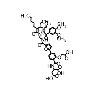 CCCCCC(C(=O)NCNC(=O)c1ccc(-c2ccc(C(=O)NC(CC(=O)O)C(=O)O)c(OCC(=O)O)c2)o1)[C@@H](CC)N(C=O)OC(=O)c1ccc(OC)c(OC)c1